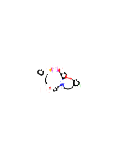 O=C1NS(=O)(=O)C[C@@H](c2ccccc2)CCC[C@H](O)[C@@H]2CC[C@H]2CN2CCCCc3cc(Cl)ccc3COc3ccc1cc32